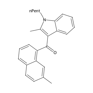 CCCCCn1c(C)c(C(=O)c2cccc3ccc(C)cc23)c2ccccc21